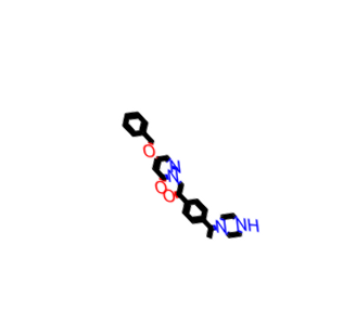 CC(c1ccc(C(=O)Cn2ncc(OCc3ccccc3)cc2=O)cc1)N1CCNCC1